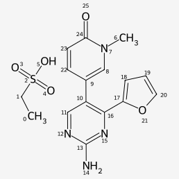 CCS(=O)(=O)O.Cn1cc(-c2cnc(N)nc2-c2ccco2)ccc1=O